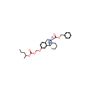 CCCC(C)OC(=O)OCOc1ccc2c(c1)[C@]13CCCC[C@@H]1[C@H](C2)N(C(=O)OCc1ccccc1)CC3